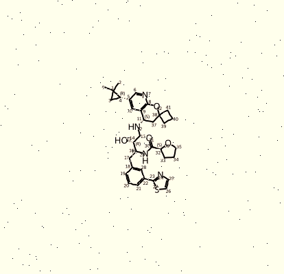 CC1(C)C[C@H]1c1cnc2c(c1)[C@@H](NC[C@@H](O)[C@H](Cc1cccc(-c3nccs3)c1)NC(=O)[C@@H]1CCCO1)CC1(CCC1)O2